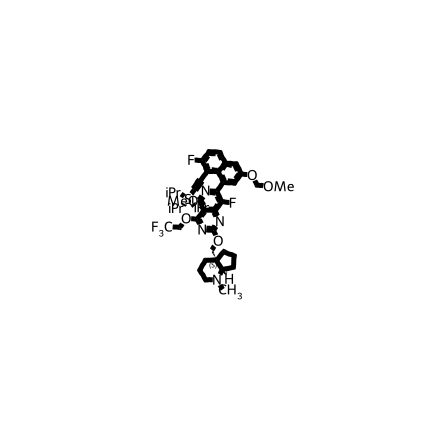 COCOc1cc(-c2nc(OC)c3c(OCC(F)(F)F)nc(OC[C@]45CCC[C@H]4N(C)CCC5)nc3c2F)c2c(C#C[Si](C(C)C)(C(C)C)C(C)C)c(F)ccc2c1